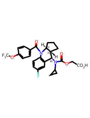 O=C(O)COC(=O)N(C1CC1)[C@H]1c2cc(F)ccc2N(C(=O)c2ccc(OC(F)(F)F)cc2)[C@H]2CCC[C@@H]21